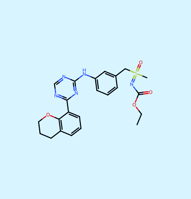 CCOC(=O)N=S(C)(=O)Cc1cccc(Nc2ncnc(-c3cccc4c3OCCC4)n2)c1